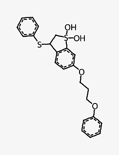 OS1(O)CC(Sc2ccccc2)c2ccc(OCCCOc3ccccc3)cc21